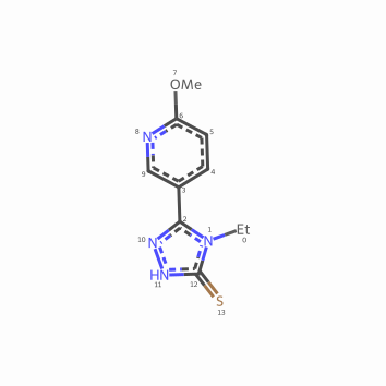 CCn1c(-c2ccc(OC)nc2)n[nH]c1=S